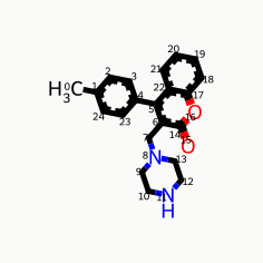 Cc1ccc(-c2c(CN3CCNCC3)c(=O)oc3ccccc23)cc1